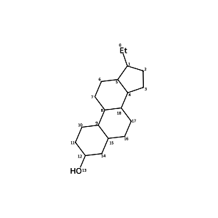 CCC1CCC2C1CCC1C3CCC(O)CC3CCC21